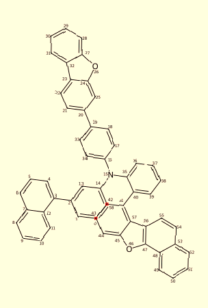 c1cc(-c2cccc3ccccc23)cc(N(c2ccc(-c3ccc4c(c3)oc3ccccc34)cc2)c2ccccc2-c2cccc3oc4c5ccccc5ccc4c23)c1